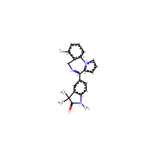 CN1C(=O)C(C)(C)c2cc(C3=NCc4c(Cl)cccc4-n4cccc43)ccc21